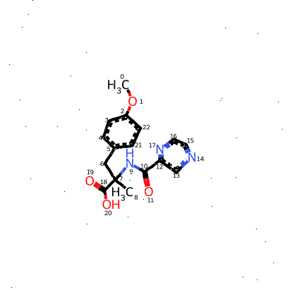 COc1ccc(CC(C)(NC(=O)c2cnccn2)C(=O)O)cc1